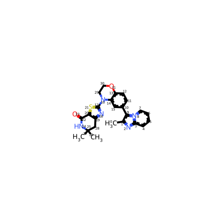 Cc1nc2ccccn2c1-c1ccc2c(c1)N(c1nc3c(s1)C(=O)NC(C)(C)C3)CCO2